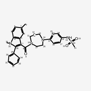 Cc1ccc2c(c1)c(C(=O)N1CCCN(c3ccc(NS(C)(=O)=O)cn3)CC1)c(-c1ccccc1)n2C